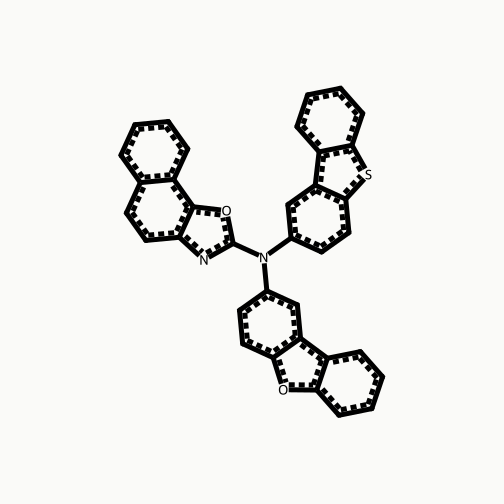 c1ccc2c(c1)ccc1nc(N(c3ccc4oc5ccccc5c4c3)c3ccc4sc5ccccc5c4c3)oc12